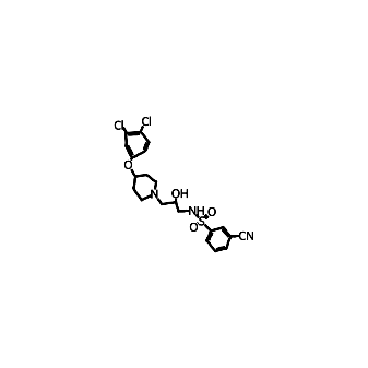 N#Cc1cccc(S(=O)(=O)NC[C@H](O)CN2CCC(Oc3ccc(Cl)c(Cl)c3)CC2)c1